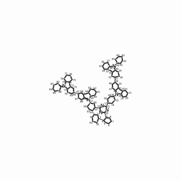 c1ccc(-c2ccccc2-c2nc(-c3ccc(-n4c5ccccc5c5cc(-c6ccc7c(c6)c6ccccc6n7-c6ccccc6)ccc54)cc3)nc(-c3cccc(-n4c5ccccc5c5cc(-c6ccc7c(c6)c6ccccc6n7-c6ccccc6)ccc54)c3)n2)cc1